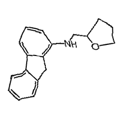 c1ccc2c(c1)Cc1c(NCC3CCCO3)cccc1-2